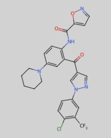 O=C(Nc1ccc(N2CCCCC2)cc1C(=O)c1cnn(-c2ccc(Cl)c(C(F)(F)F)c2)c1)c1ccno1